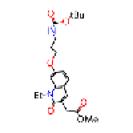 CCn1c(=O)c(CC(=O)OC)cc2ccc(OCCCNC(=O)OC(C)(C)C)cc21